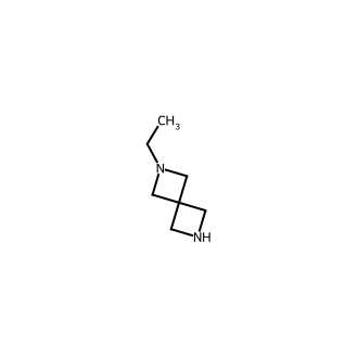 CCN1CC2(CNC2)C1